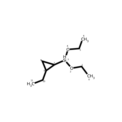 CCO[SiH](OCC)C1CC1CC